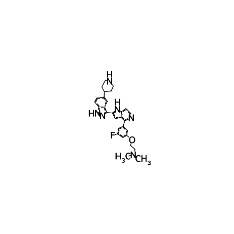 CN(C)CCOc1cc(F)cc(-c2nccc3[nH]c(-c4n[nH]c5ccc(C6CCNCC6)cc45)cc23)c1